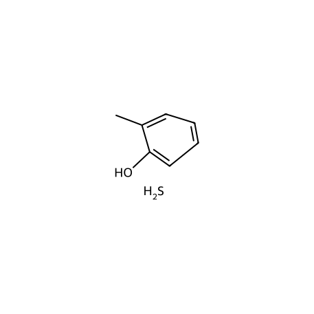 Cc1ccccc1O.S